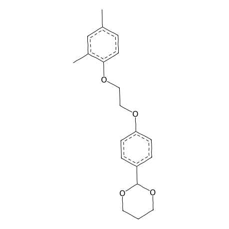 Cc1ccc(OCCOc2ccc(C3OCCCO3)cc2)c(C)c1